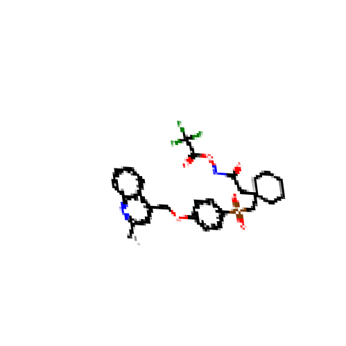 Cc1cc(COc2ccc(S(=O)(=O)CC3(CC(=O)NOC(=O)C(F)(F)F)CCCCC3)cc2)c2ccccc2n1